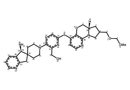 COCOCC1C[C@H]2COc3c(Sc4cnc(N5CCC6(CC5)Cc5ncccc5[C@H]6N)c(CO)n4)ccnc3N2C1